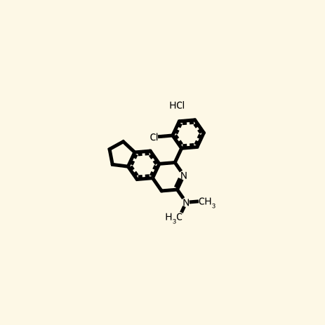 CN(C)C1=NC(c2ccccc2Cl)c2cc3c(cc2C1)CCC3.Cl